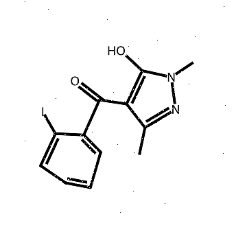 Cc1nn(C)c(O)c1C(=O)c1ccccc1I